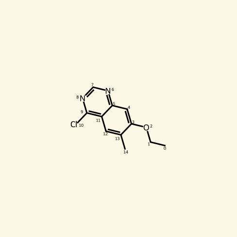 CCOc1cc2ncnc(Cl)c2cc1C